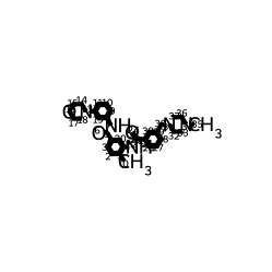 Cc1ccc(C(=O)Nc2cccc(N3CCOCC3)c2)cc1NC(=O)c1cccc(CN2CCN(C)CC2)c1